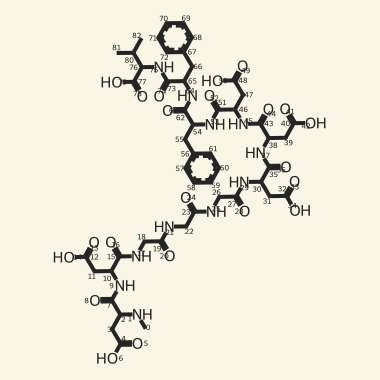 CNC(CC(=O)O)C(=O)NC(CC(=O)O)C(=O)NCC(=O)NCC(=O)NCC(=O)NC(CC(=O)O)C(=O)NC(CC(=O)O)C(=O)NC(CC(=O)O)C(=O)NC(Cc1ccccc1)C(=O)NC(Cc1ccccc1)C(=O)NC(C(=O)O)C(C)C